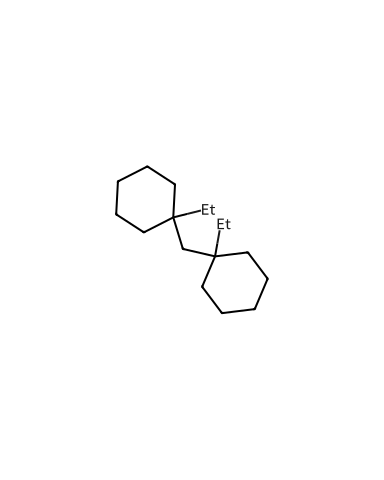 CCC1(CC2(CC)CCCCC2)CCCCC1